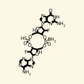 B[P@]1(=O)OC[C@H]2O[C@@H](n3cnc4c(N)ncnc43)C(F)C2O[P@](=O)(S)OC[C@H]2O[C@@H](n3cnc4c(=O)[nH]c(N)nc43)C(F)C2O1